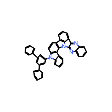 c1ccc(-c2cc(-c3ccccc3)cc(-n3c4ccccc4c4c3ccc3c5cccc6c7nc8ccccc8nc7n(c56)c34)c2)cc1